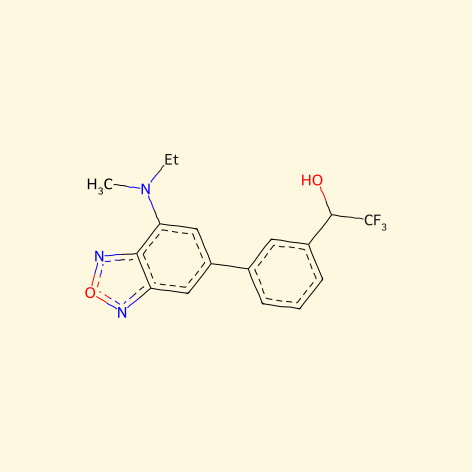 CCN(C)c1cc(-c2cccc(C(O)C(F)(F)F)c2)cc2nonc12